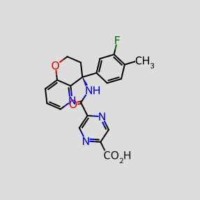 Cc1ccc([C@@]2(NC(=O)c3cnc(C(=O)O)cn3)CCOc3cccnc32)cc1F